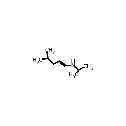 CC(C)C/C=C/NC(C)C